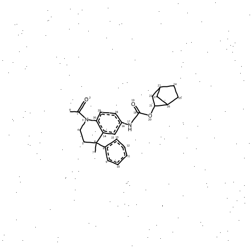 CC(=O)N1CCC(C)(c2ccccc2)c2cc(NC(=O)OC3CC4CCC3C4)ccc21